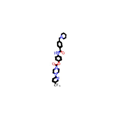 O=C(Nc1ccc(OC(=O)N2CCN(c3ccc(C(F)(F)F)cn3)CC2)cc1)c1ccc(CN2CCCCC2)cc1